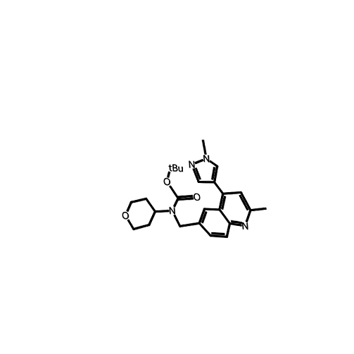 Cc1cc(-c2cnn(C)c2)c2cc(CN(C(=O)OC(C)(C)C)C3CCOCC3)ccc2n1